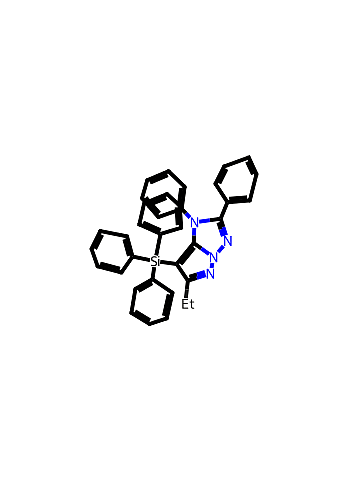 CCc1nn2nc(-c3ccccc3)n(-c3ccccc3)c2c1[Si](c1ccccc1)(c1ccccc1)c1ccccc1